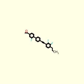 CCCc1ccc(C#Cc2ccc(-c3ccc(C4CO4)cc3F)cc2)c(F)c1F